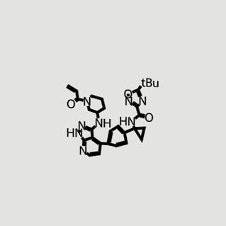 C=CC(=O)N1CCCC(Nc2n[nH]c3nccc(-c4ccc(C5(NC(=O)c6noc(C(C)(C)C)n6)CC5)cc4)c23)C1